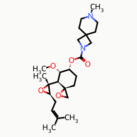 CO[C@@H]1[C@H](OC(=O)N2CC3(CCN(C)CC3)C2)CC[C@]2(CO2)[C@H]1[C@@]1(C)O[C@@H]1CC=C(C)C